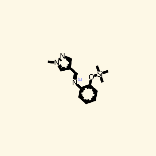 Cn1cc(/C=N/c2ccccc2O[Si](C)(C)C)cn1